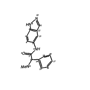 CNC(C(=O)Nc1ccc2[nH]ncc2c1)c1ccccc1